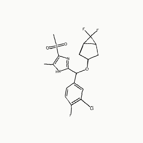 Cc1[nH]c(C(OC2CC3C(C2)C3(F)F)c2ccc(F)c(Cl)c2)nc1S(C)(=O)=O